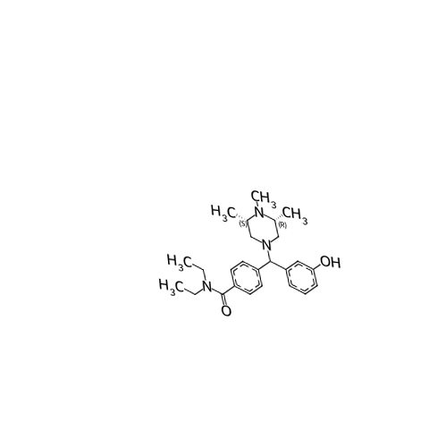 CCN(CC)C(=O)c1ccc(C(c2cccc(O)c2)N2C[C@@H](C)N(C)[C@@H](C)C2)cc1